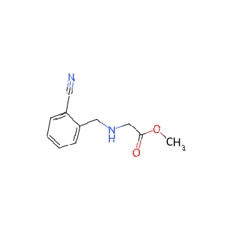 COC(=O)CNCc1ccccc1C#N